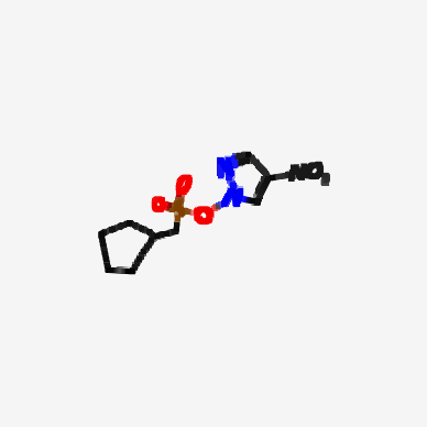 O=[N+]([O-])c1cnn(OS(=O)(=O)CC2CCCC2)c1